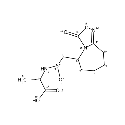 C[C@H](N[S+]([O-])CC1CCCCc2noc(=O)n21)C(=O)O